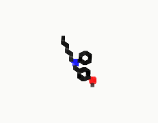 CCCCCCN(Cc1ccc(OC)cc1)C1CCCCC1